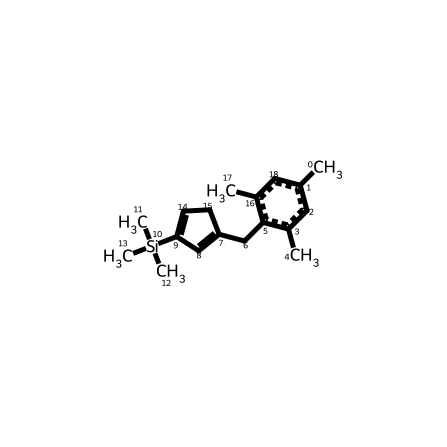 Cc1cc(C)c(CC2=CC([Si](C)(C)C)=CC2)c(C)c1